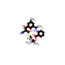 CCSc1oc2c(C(C)Nc3ccccc3C(=O)OC(C)(C)C)cc(C)cc2c(=O)c1C#N